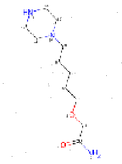 NC(=O)COCCCCCN1CCNCC1